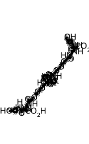 O=C(O)CC(NC(=O)CNC(=O)CCOCCOCCOCCNC(=O)C(C(C(=O)NCCOCCOCCOCCC(=O)NCC(=O)NC(CC(=O)O)C(=O)Nc1ccc(CO)cc1)N1C(=O)C=CC1=O)N1C(=O)C=CC1=O)C(=O)Nc1ccc(CO)cc1